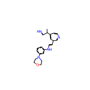 CC(C=N)C1=CC(/C=C/Nc2cccc(N3CCOCC3)c2)C=NC=C1